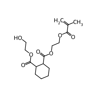 C=C(C)C(=O)OCCOC(=O)C1CCCCC1C(=O)OCCO